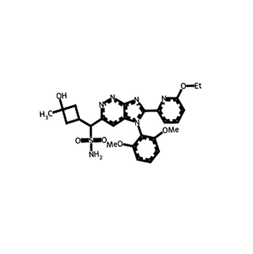 CCOc1cccc(-c2nc3nnc(C(C4CC(C)(O)C4)S(N)(=O)=O)cc3n2-c2c(OC)cccc2OC)n1